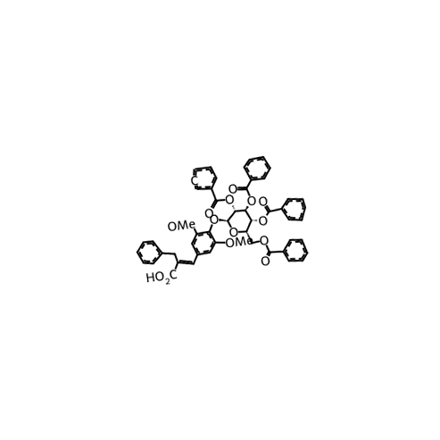 COc1cc(C=C(Cc2ccccc2)C(=O)O)cc(OC)c1O[C@@H]1O[C@H](COC(=O)c2ccccc2)[C@@H](OC(=O)c2ccccc2)[C@H](OC(=O)c2ccccc2)[C@H]1OC(=O)c1ccccc1